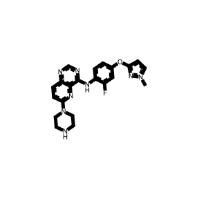 Cn1ccc(Oc2ccc(Nc3ncnc4ccc(N5CCNCC5)nc34)c(F)c2)n1